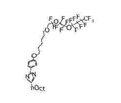 CCCCCCCCc1cnc(-c2ccc(OCCCCCCOCC(F)(F)OC(F)(F)C(F)(F)OC(F)(F)C(F)(F)C(F)(F)C(F)(F)F)cc2)nc1